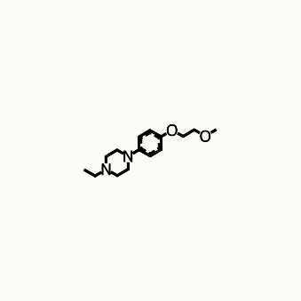 CCN1CCN(c2ccc(OCCOC)cc2)CC1